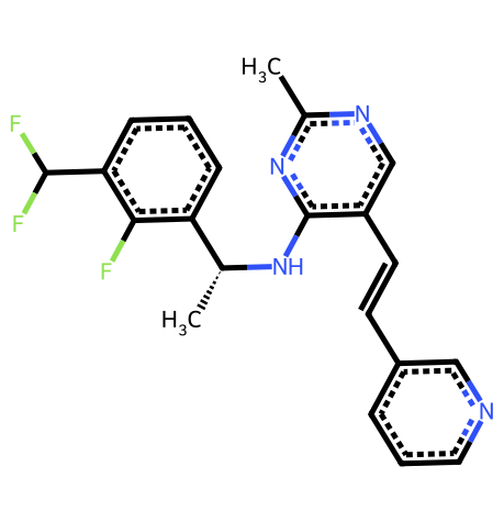 Cc1ncc(/C=C/c2cccnc2)c(N[C@H](C)c2cccc(C(F)F)c2F)n1